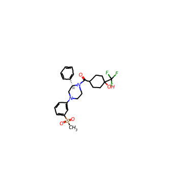 CS(=O)(=O)c1cccc(N2CCN(C(=O)C3CCC(O)(C(F)(F)F)CC3)[C@@H](c3ccccc3)C2)c1